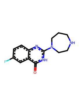 O=c1[nH]c(N2CCCNCC2)nc2ccc(F)cc12